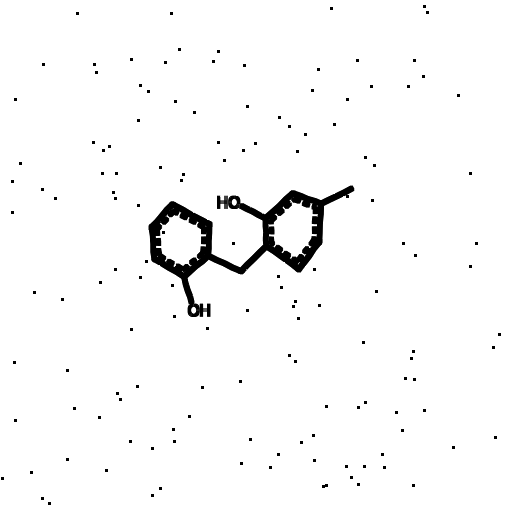 Cc1ccc(Cc2ccccc2O)c(O)c1